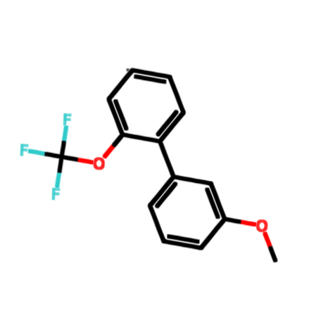 COc1cccc(-c2cc[c]cc2OC(F)(F)F)c1